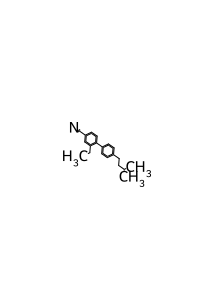 CCc1cc(C#N)ccc1-c1ccc(CCC(C)C)cc1